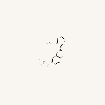 CCSc1cccnc1C(=O)Nc1cc([S+]([O-])C(F)(F)F)ccc1O